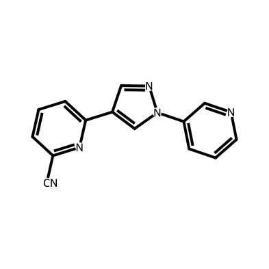 N#Cc1cccc(-c2cnn(-c3cccnc3)c2)n1